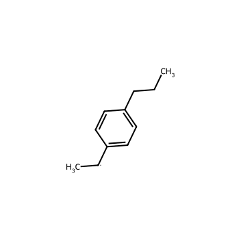 C[CH]c1ccc(CCC)cc1